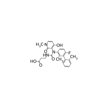 Cc1ccccc1-c1c(F)ccc(N(C(=O)NCCC(=O)O)c2c(O)ccn(C)c2=O)c1C